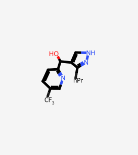 CCCc1n[nH]cc1C(O)c1ccc(C(F)(F)F)cn1